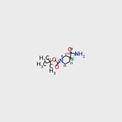 CC(C)(C)OC(=O)N1CCC(F)(C(N)=O)CC1